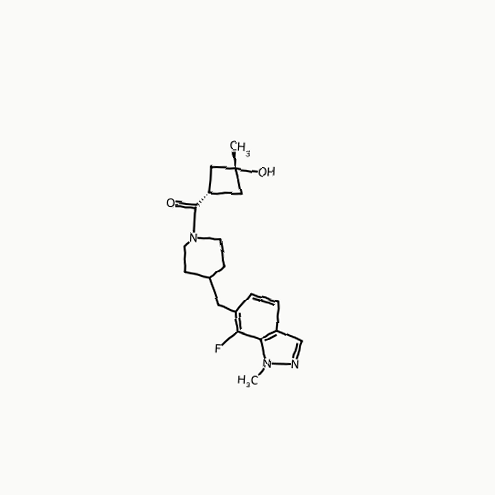 Cn1ncc2ccc(CC3CCN(C(=O)[C@H]4C[C@@](C)(O)C4)CC3)c(F)c21